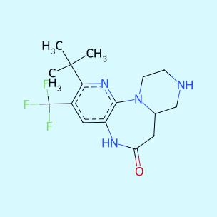 CC(C)(C)c1nc2c(cc1C(F)(F)F)NC(=O)CC1CNCCN21